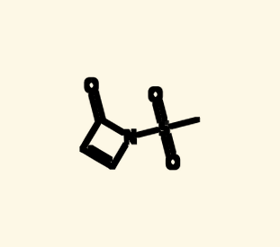 CS(=O)(=O)N1C=CC1=O